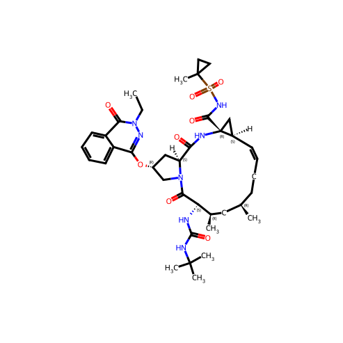 CCn1nc(O[C@@H]2C[C@H]3C(=O)N[C@]4(C(=O)NS(=O)(=O)C5(C)CC5)C[C@H]4C=CCC[C@@H](C)C[C@@H](C)[C@H](NC(=O)NC(C)(C)C)C(=O)N3C2)c2ccccc2c1=O